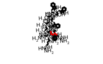 CC(C)[C@H](NC(=O)[C@H](Cc1c[nH]c2ccccc12)NC(=O)[C@@H](NC(=O)[C@@H](NC(=O)[C@H](Cc1c[nH]c2ccccc12)NC(=O)[C@H](CCCNC(=N)N)NC(=O)[C@H](CCCNC(=N)N)NC(=O)[C@@H](N)CCCNC(=N)N)C(C)C)C(C)C)C(=O)N[C@@H](Cc1c[nH]c2ccccc12)C(=O)N[C@@H](Cc1c[nH]c2ccccc12)C(=O)O